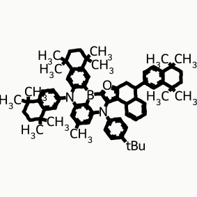 Cc1cc2c3c(c1)N(c1ccc(C(C)(C)C)cc1)c1c(oc4c1C1C=CC=CC1C(c1ccc5c(c1)C(C)(C)CCC5(C)C)C4)B3c1cc3c(cc1N2c1ccc2c(c1)C(C)(C)CCC2(C)C)C(C)(C)CCC3(C)C